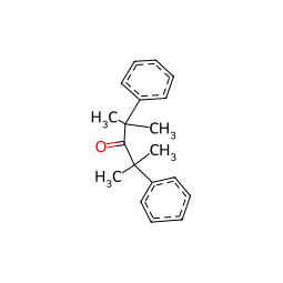 CC(C)(C(=O)C(C)(C)c1ccccc1)c1ccccc1